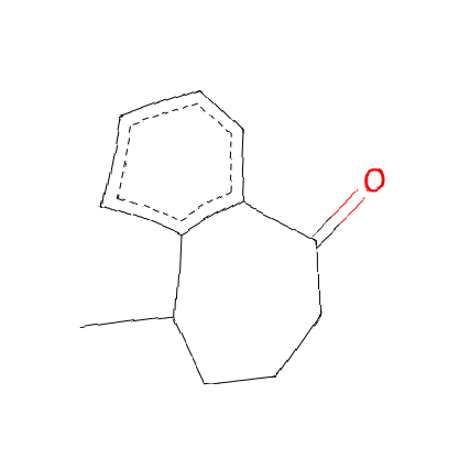 CC1CCCC(=O)c2ccccc21